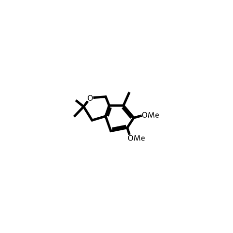 COc1cc2c(c(C)c1OC)COC(C)(C)C2